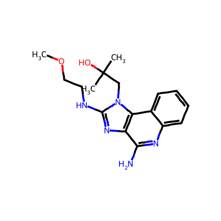 COCCNc1nc2c(N)nc3ccccc3c2n1CC(C)(C)O